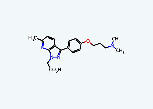 Cc1ccc2c(-c3ccc(OCCCN(C)C)cc3)nn(CC(=O)O)c2n1